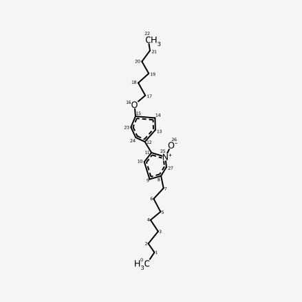 CCCCCCCCc1ccc(-c2ccc(OCCCCCC)cc2)[n+]([O-])c1